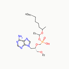 CCCCCCCCCCCCCCC(C)OC(CC)OP(=O)(O)CO[C@H](COCC)Cn1cnc2c(N)ncnc21